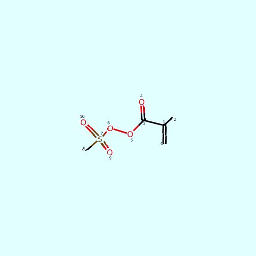 C=C(C)C(=O)OOS(C)(=O)=O